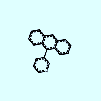 [c]1c2ccccc2c(-c2cccnc2)c2ccccc12